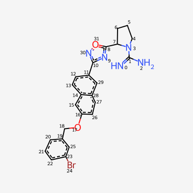 N=C(N)N1CCCC1c1nc(-c2ccc3cc(OCc4cccc(Br)c4)ccc3c2)no1